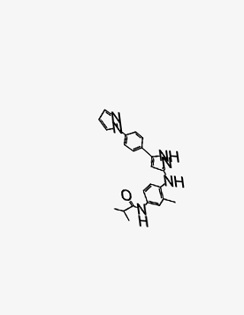 Cc1cc(NC(=O)C(C)C)ccc1Nc1cc(-c2ccc(-n3cccn3)cc2)[nH]n1